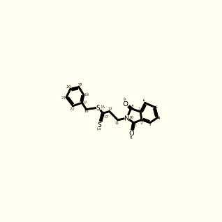 O=C1c2ccccc2C(=O)N1CCC(=S)SCc1ccccc1